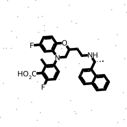 Cc1c(N2CC(CCN[C@H](C)c3cccc4ccccc34)Oc3ccc(F)cc32)ccc(F)c1C(=O)O